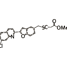 COC(=O)CCSCc1ccc2oc(-c3ccc4ccc(Cl)cc4n3)cc2c1